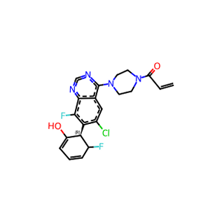 C=CC(=O)N1CCN(c2ncnc3c(F)c([C@@H]4C(O)=CC=CC4F)c(Cl)cc23)CC1